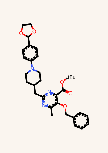 Cc1nc(CC2CCN(c3ccc(C4OCCO4)cc3)CC2)nc(C(=O)OC(C)(C)C)c1OCc1ccccc1